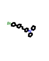 Brc1ccc(-c2ccc(/C=C/c3ccc(N(c4ccccc4)c4ccccc4)cc3)cc2)cc1